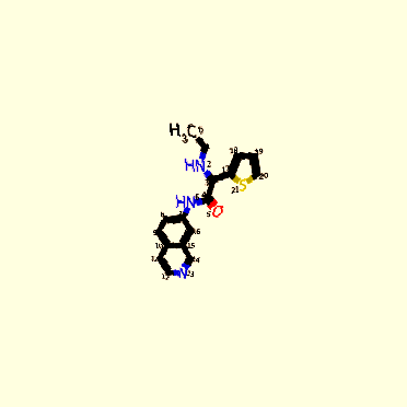 CCNC(C(=O)Nc1ccc2ccncc2c1)c1cccs1